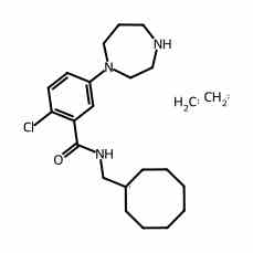 O=C(NC[C]1CCCCCCC1)c1cc(N2CCCNCC2)ccc1Cl.[CH2].[CH2]